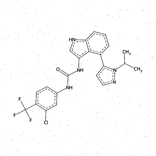 CC(C)n1nccc1-c1cccc2[nH]cc(NC(=O)Nc3ccc(C(F)(F)F)c(Cl)c3)c12